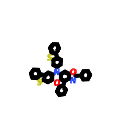 c1ccc(-c2nc3c(cc(N(c4ccc5c(c4)sc4ccccc45)c4ccc5sc6ccccc6c5c4)c4oc5ccccc5c43)o2)cc1